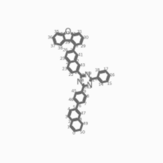 C1=Cc2ccc(-c3ccc(-c4nc(-c5ccccc5)nc(-c5ccc6ccc(-c7cccc8oc9ccccc9c78)cc6c5)n4)cc3)cc2CC1